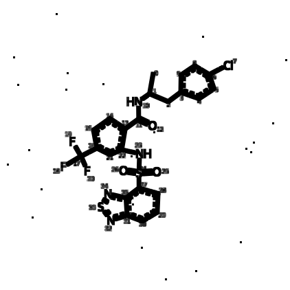 CC(Cc1ccc(Cl)cc1)NC(=O)c1ccc(C(F)(F)F)cc1NS(=O)(=O)c1cccc2nsnc12